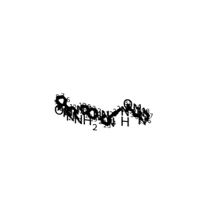 Nc1nnc(-c2ccccc2O)cc1N1CCC2(CCN(c3ccnc(C#CCNC(=O)c4cc5ncccn5n4)n3)CC2)C1